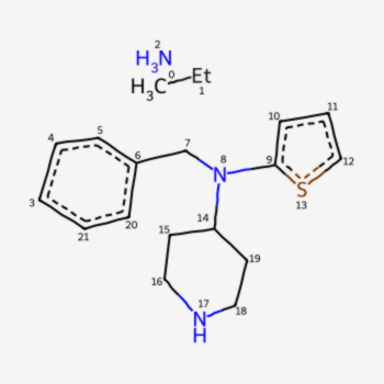 CCC.N.c1ccc(CN(c2cccs2)C2CCNCC2)cc1